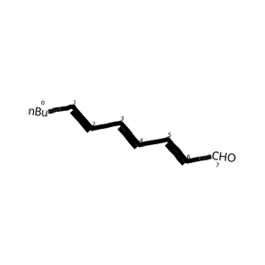 CCCCC=CC=C/C=C/C=O